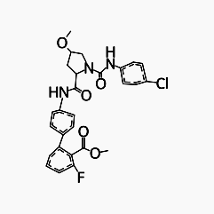 COC(=O)c1c(F)cccc1-c1ccc(NC(=O)C2CC(OC)CN2C(=O)Nc2ccc(Cl)cc2)cc1